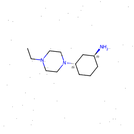 CCN1CCN([C@H]2CCC[C@H](N)C2)CC1